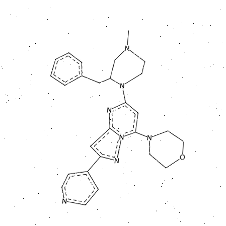 CN1CCN(c2cc(N3CCOCC3)n3nc(-c4ccncc4)cc3n2)C(Cc2ccccc2)C1